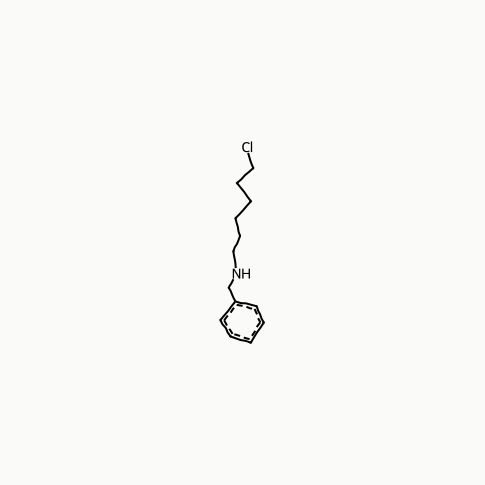 ClCCCCCCNCc1ccccc1